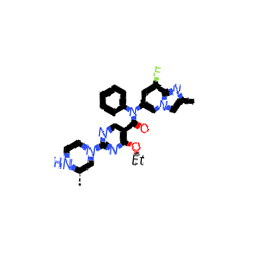 CCOc1nc(N2CCN[C@@H](C)C2)ncc1C(=O)N(c1ccccc1)c1cc(F)c2nc(C)cn2c1